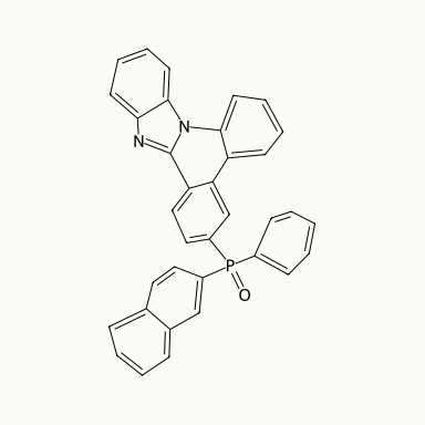 O=P(c1ccccc1)(c1ccc2ccccc2c1)c1ccc2c(c1)c1ccccc1n1c3ccccc3nc21